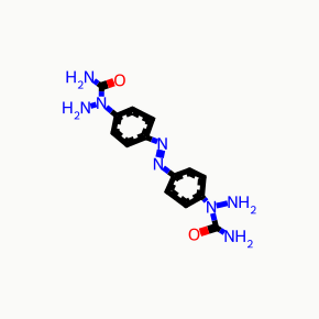 NC(=O)N(N)c1ccc(/N=N/c2ccc(N(N)C(N)=O)cc2)cc1